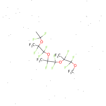 CC(F)(F)OC(F)(C(F)(F)F)C(F)(F)OC(F)(C(F)(F)F)C(F)(F)OC(F)(C(F)(F)F)C(F)(F)OC(F)(F)F